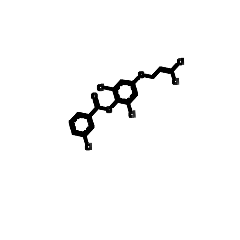 O=C(Oc1c(Cl)cc(OCC=C(Cl)Cl)cc1Cl)c1cccc(Cl)c1